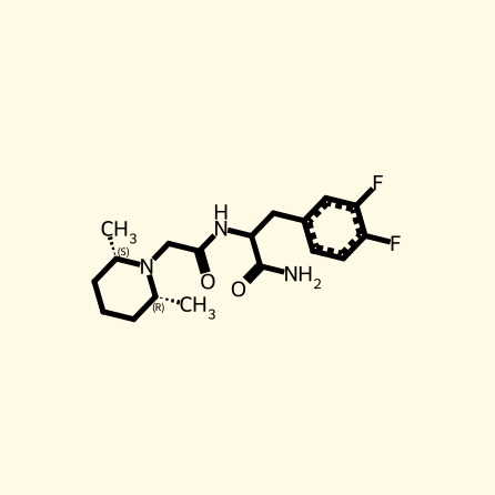 C[C@@H]1CCC[C@H](C)N1CC(=O)NC(Cc1ccc(F)c(F)c1)C(N)=O